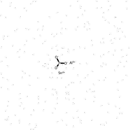 [Al+3].[O-]P([O-])[O-].[Sn+4]